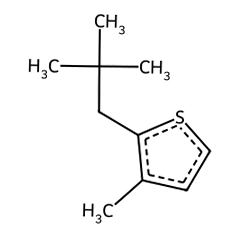 Cc1ccsc1CC(C)(C)C